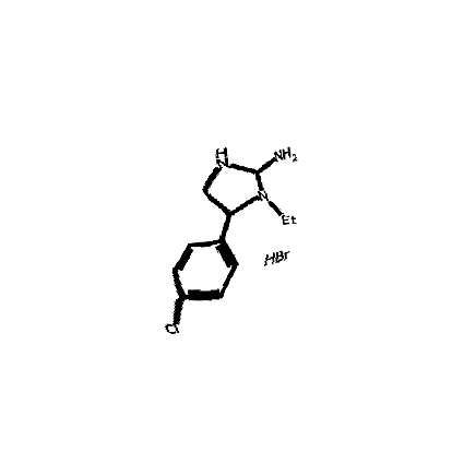 Br.CCN1C(N)NCC1c1ccc(Cl)cc1